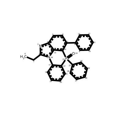 CCc1nc2ccc(-c3ccccc3)c3c2n1-c1ccccc1P3(=O)c1ccccc1